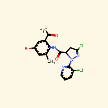 CC(=O)c1cc(Br)cc(C)c1NC(=O)C1CC(Cl)=NN1c1ncccc1Cl